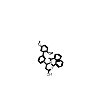 COc1ccc(OC)c(-c2cccc(C(CC(=O)O)N(Cc3ccccc3)C(C)c3ccccc3)c2)c1